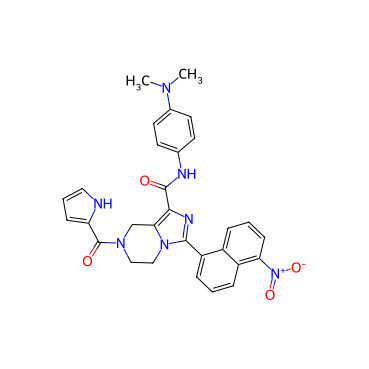 CN(C)c1ccc(NC(=O)c2nc(-c3cccc4c([N+](=O)[O-])cccc34)n3c2CN(C(=O)c2ccc[nH]2)CC3)cc1